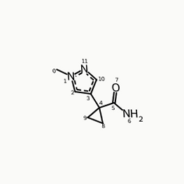 Cn1cc(C2(C(N)=O)CC2)cn1